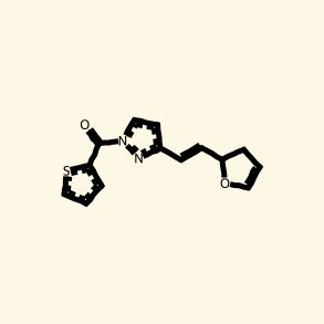 O=C(c1cccs1)n1ccc(/C=C/C2CC=CO2)n1